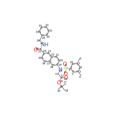 Cc1cc(C)cc(S(=O)(=O)N(CC(=O)OC(C)(C)C)c2ccc3cc(C(=O)NCc4ccccc4)ccc3c2)c1